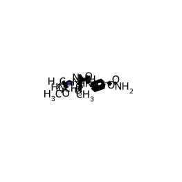 COCc1c(C(=O)N[C@H]2C3CC4CC2C[C@](COC(N)=O)(C4)C3)cnn1/C=C/C(C)(C)NC(C)=O